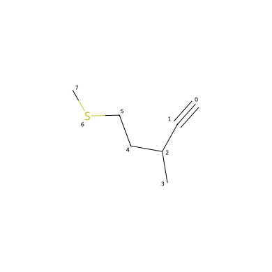 C#CC(C)CCSC